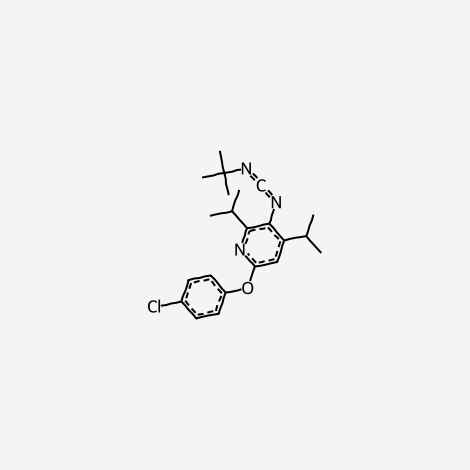 CC(C)c1cc(Oc2ccc(Cl)cc2)nc(C(C)C)c1N=C=NC(C)(C)C